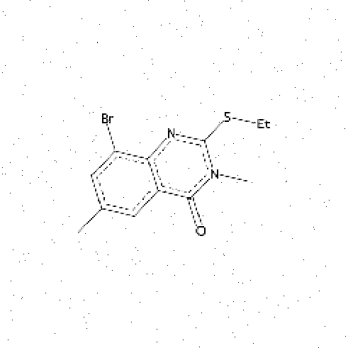 CCSc1nc2c(Br)cc(C)cc2c(=O)n1C